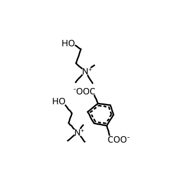 C[N+](C)(C)CCO.C[N+](C)(C)CCO.O=C([O-])c1ccc(C(=O)[O-])cc1